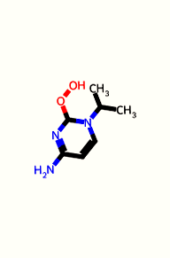 CC(C)N1C=CC(N)=NC1OO